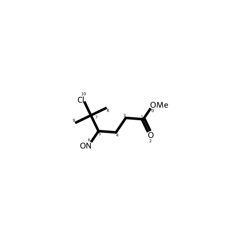 COC(=O)CCC(N=O)C(C)(C)Cl